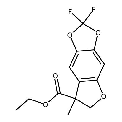 CCOC(=O)C1(C)COc2cc3c(cc21)OC(F)(F)O3